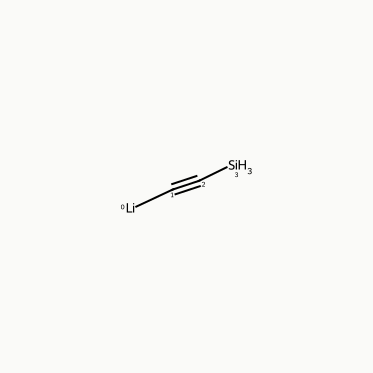 [Li][C]#C[SiH3]